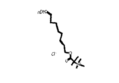 CCCCCCCCCCCCCCCCCCOC(=O)C(C)(C)[N+](C)(C)C.[Cl-]